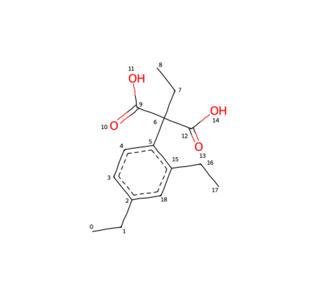 CCc1ccc(C(CC)(C(=O)O)C(=O)O)c(CC)c1